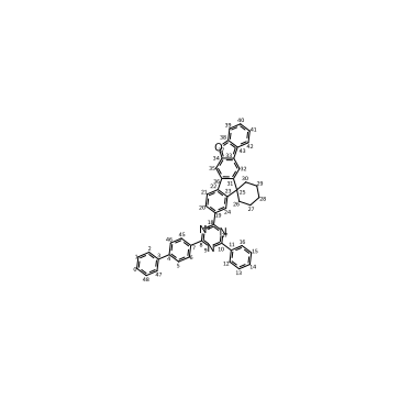 c1ccc(-c2ccc(-c3nc(-c4ccccc4)nc(-c4ccc5c(c4)C4(CCCCC4)c4cc6c(cc4-5)oc4ccccc46)n3)cc2)cc1